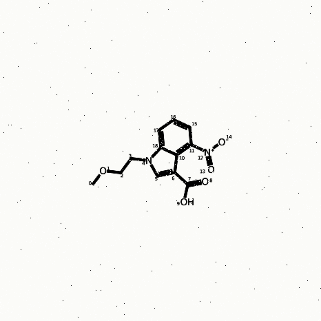 COCCn1cc(C(=O)O)c2c([N+](=O)[O-])cccc21